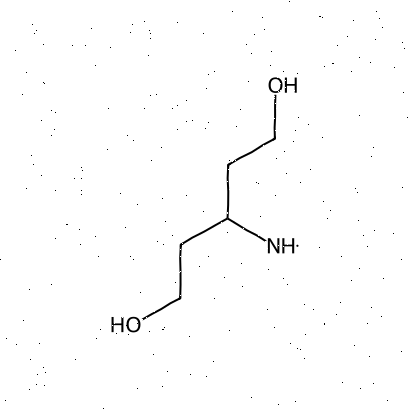 [NH]C(CCO)CCO